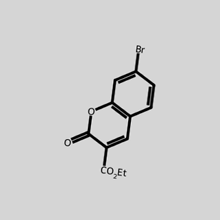 CCOC(=O)c1cc2ccc(Br)cc2oc1=O